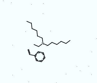 C=Cc1ccccc1.CCCCCCN(CC)CCCCCC